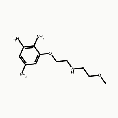 COCCNCCOc1cc(N)cc(N)c1N